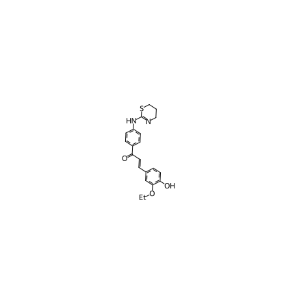 CCOc1cc(/C=C/C(=O)c2ccc(NC3=NCCCS3)cc2)ccc1O